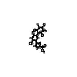 COC(=O)c1nc(-c2cc(-n3c(=O)n(C)c(=S)n(C)c3=O)c(F)cc2Cl)cs1